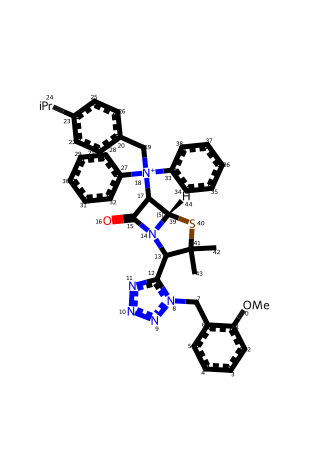 COc1ccccc1Cn1nnnc1C1N2C(=O)C([N+](Cc3ccc(C(C)C)cc3)(c3ccccc3)c3ccccc3)[C@@H]2SC1(C)C